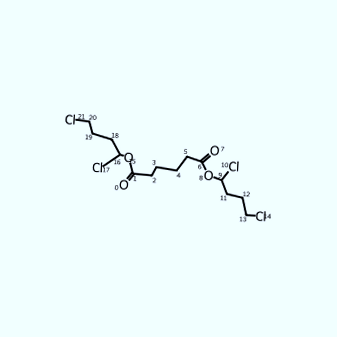 O=C(CCCCC(=O)OC(Cl)CCCCl)OC(Cl)CCCCl